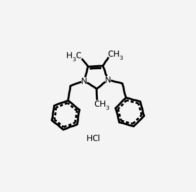 CC1=C(C)N(Cc2ccccc2)C(C)N1Cc1ccccc1.Cl